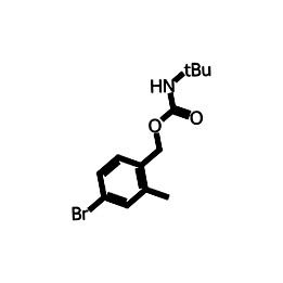 Cc1cc(Br)ccc1COC(=O)NC(C)(C)C